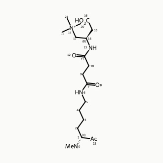 CN[C@H](CCCCNC(=O)CCC(=O)N[C@H](CC(=O)O)C[N+](C)(C)C)C(C)=O